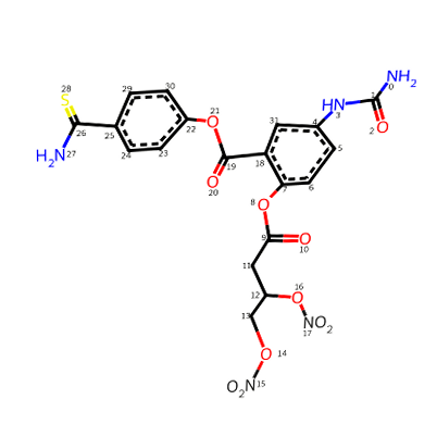 NC(=O)Nc1ccc(OC(=O)CC(CO[N+](=O)[O-])O[N+](=O)[O-])c(C(=O)Oc2ccc(C(N)=S)cc2)c1